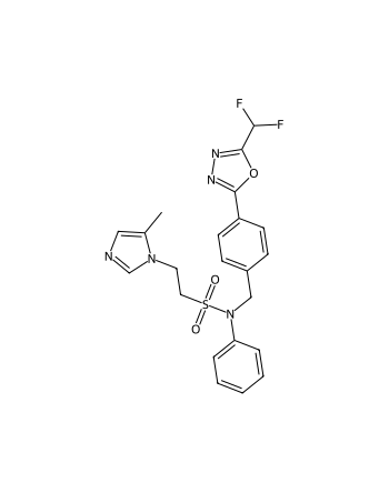 Cc1cncn1CCS(=O)(=O)N(Cc1ccc(-c2nnc(C(F)F)o2)cc1)c1ccccc1